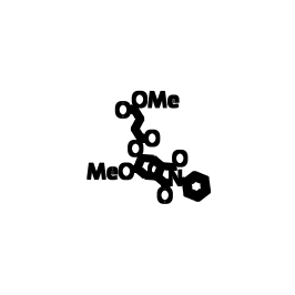 COC(=O)CCC(=O)OC1C(OC)C2OC1C1C(=O)N(c3ccccc3)C(=O)C21